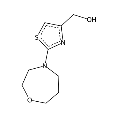 OCc1csc(N2CCCOCC2)n1